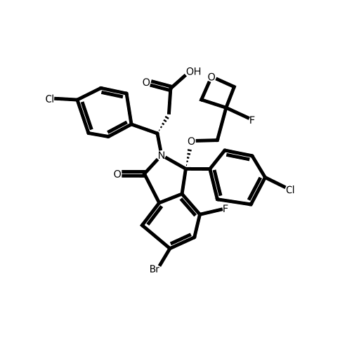 O=C(O)C[C@@H](c1ccc(Cl)cc1)N1C(=O)c2cc(Br)cc(F)c2[C@]1(OCC1(F)COC1)c1ccc(Cl)cc1